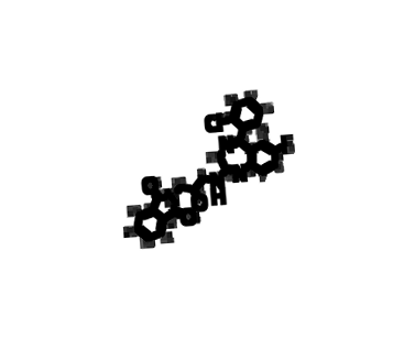 O=C(CNC1=Nc2ccc(F)cc2C(c2ccccc2Cl)=NC1)CN1C(=O)c2ccccc2C1=O